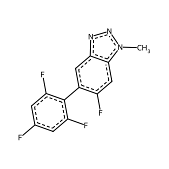 Cn1nnc2cc(-c3c(F)cc(F)cc3F)c(F)cc21